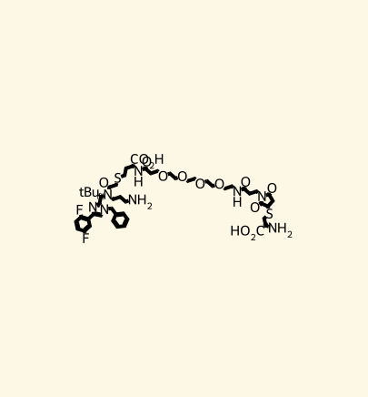 CC(C)(C)[C@H](c1nc(-c2cc(F)ccc2F)cn1Cc1ccccc1)N(CCCN)C(=O)CSCCC(NC(=O)CCOCCOCCOCCOCCNC(=O)CCN1C(=O)CC(SC[C@H](N)C(=O)O)C1=O)C(=O)O